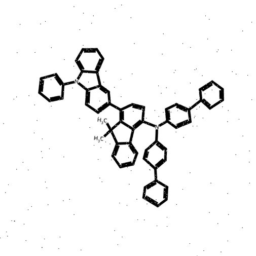 CC1(C)c2ccccc2-c2c(N(c3ccc(-c4ccccc4)cc3)c3ccc(-c4ccccc4)cc3)ccc(-c3ccc4c(c3)c3ccccc3n4-c3ccccc3)c21